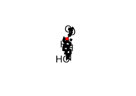 CC[C@]12CC[C@H]3[C@@H](CCC4=CC(=NO)CC[C@@H]43)[C@@H]1CC[C@H]2C#COC(C)=O